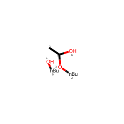 CCCCO.CCCCOC(C)O